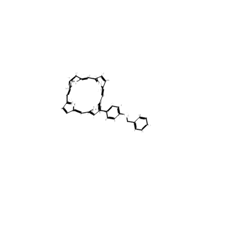 C1=Cc2cc3cc(-c4ccc(OCc5ccccc5)cc4)c(cc4nc(cc5ccc(cc1n2)[nH]5)C=C4)[nH]3